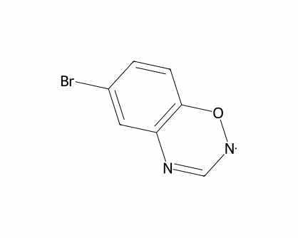 Brc1ccc2c(c1)N=C[N]O2